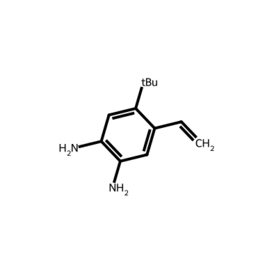 C=Cc1cc(N)c(N)cc1C(C)(C)C